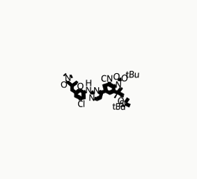 CN(C)C(=O)C1COc2c(cc(Cl)cc2Nc2nccc(-c3cc(C#N)c4c(c3)[C@@](C)(CO[Si](C)(C)C(C)(C)C)CN4C(=O)OC(C)(C)C)n2)C1